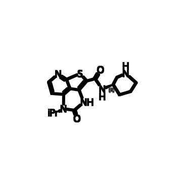 CC(C)N1C(=O)Nc2c(C(=O)N[C@@H]3CCCNC3)sc3nccc1c23